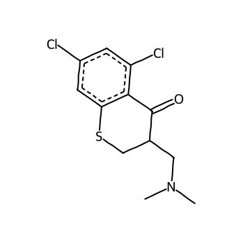 CN(C)CC1CSc2cc(Cl)cc(Cl)c2C1=O